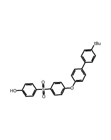 CC(C)(C)c1ccc(-c2ccc(Oc3ccc(S(=O)(=O)c4ccc(O)cc4)cc3)cc2)cc1